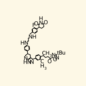 Cc1cc(-c2n[nH]c3c2CC(c2ccc(NCCNCc4ccc(C5CCC(=O)NC5=O)c(F)c4)cc2)C=N3)ccc1[C@@H](C)CCC(=O)c1nc(C(C)(C)C)no1